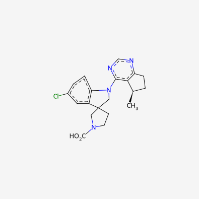 C[C@@H]1CCc2ncnc(N3CC4(CCN(C(=O)O)C4)c4cc(Cl)ccc43)c21